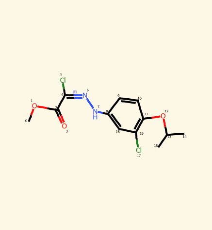 COC(=O)/C(Cl)=N\Nc1ccc(OC(C)C)c(Cl)c1